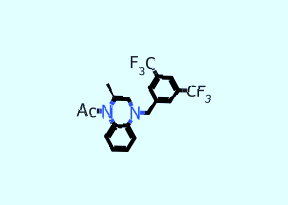 CC(=O)N1c2ccccc2N(Cc2cc(C(F)(F)F)cc(C(F)(F)F)c2)C[C@@H]1C